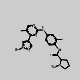 Cc1cnc(Nc2ccc(NC(=O)C3CCCN3C(C)(C)C)c(F)c2)nc1-c1cnn(C(C)C)c1